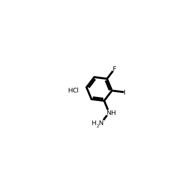 Cl.NNc1cccc(F)c1I